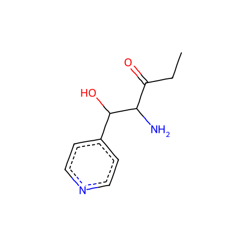 CCC(=O)C(N)C(O)c1ccncc1